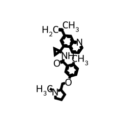 C=C(C)c1cc(C2(NC(=O)c3cc(OCC4CCCN4C)ccc3C)CC2)c2cccnc2c1